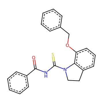 O=C(NC(=S)N1CCc2cccc(OCc3ccccc3)c21)c1ccccc1